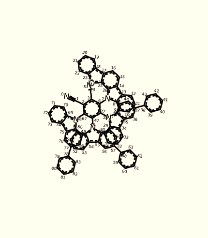 N#Cc1c(C#N)c(-n2c3ccccc3c3ccc4c5ccccc5oc4c32)c(-n2c3ccccc3c3cc(-c4ccccc4)ccc32)c(-n2c3ccccc3c3cc(-c4ccccc4)ccc32)c1-n1c2ccccc2c2cc(-c3ccccc3)ccc21